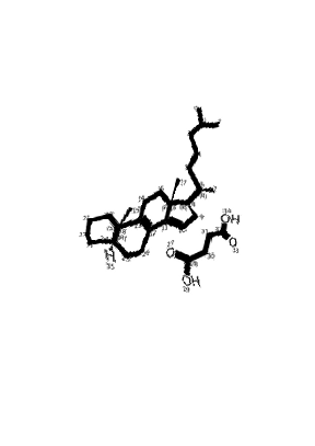 CC(C)CCC[C@@H](C)[C@H]1CC=C2C3=C(CC[C@@]21C)[C@@]1(C)CCCC[C@@H]1CC3.O=C(O)CCC(=O)O